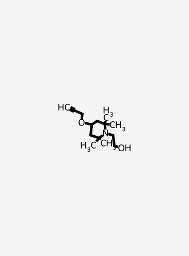 C#CCOC1CC(C)(C)N(CCO)C(C)(C)C1